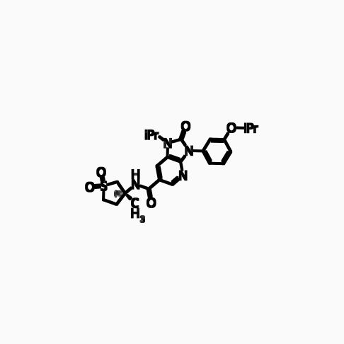 CC(C)Oc1cccc(-n2c(=O)n(C(C)C)c3cc(C(=O)N[C@]4(C)CCS(=O)(=O)C4)cnc32)c1